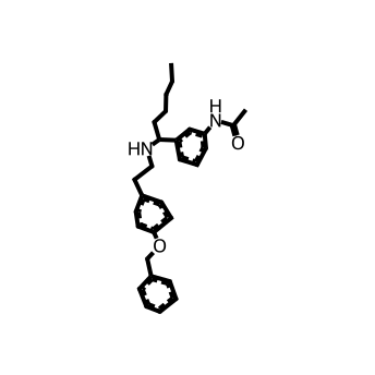 CCCCCC(NCCc1ccc(OCc2ccccc2)cc1)c1cccc(NC(C)=O)c1